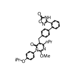 CCCc1nc(OC)n(-c2ccc(OC(C)C)cc2)c(=O)c1Cc1ccc(-c2ccccc2-c2noc(=O)[nH]2)cc1